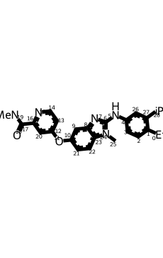 CCc1ccc(Nc2nc3cc(Oc4ccnc(C(=O)NC)c4)ccc3n2C)cc1C(C)C